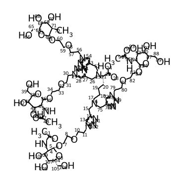 CC(=O)N[C@H]1[C@H](OCCOCCn2cc(CN(CCCC[C@@H](C(=O)O)N(Cc3cn(CCOCCOC4O[C@H](CO)[C@H](O)[C@H](O)[C@H]4NC(C)=O)nn3)Cc3cn(CCOCCO[C@@H]4O[C@H](CO)[C@H](O)[C@H](O)[C@H]4C)nn3)Cc3cn(CCOCCO[C@@H]4O[C@H](CO)[C@H](O)[C@H](O)[C@H]4NC(C)=O)nn3)nn2)O[C@H](CO)[C@H](O)[C@@H]1O